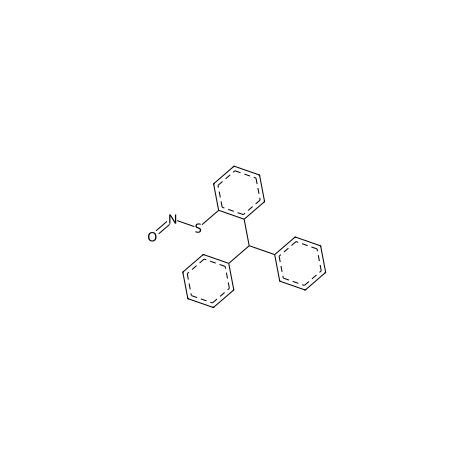 O=NSc1ccccc1C(c1ccccc1)c1ccccc1